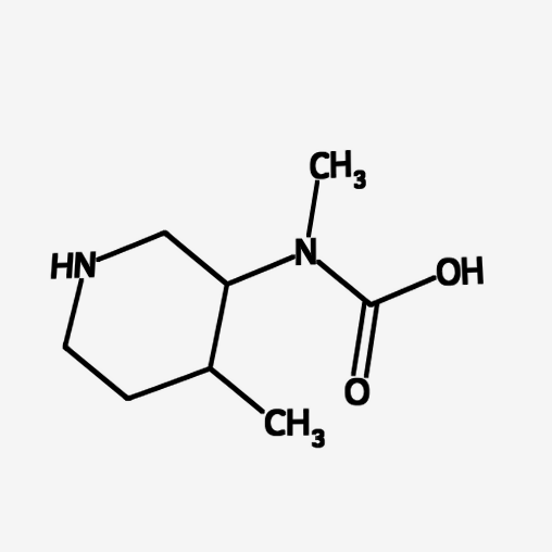 CC1CCNCC1N(C)C(=O)O